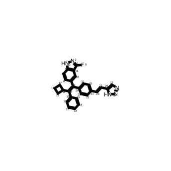 Fc1n[nH]c2ccc(/C(=C(/c3ccccc3)C3CCC3)c3ccc(/C=C/c4cnn[nH]4)cc3)cc12